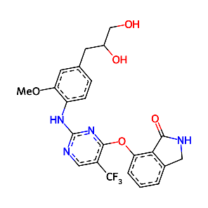 COc1cc(CC(O)CO)ccc1Nc1ncc(C(F)(F)F)c(Oc2cccc3c2C(=O)NC3)n1